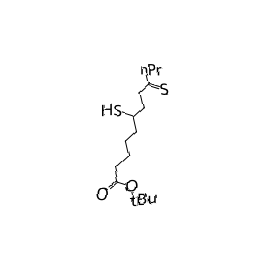 CCCC(=S)CCC(S)CCCCC(=O)OC(C)(C)C